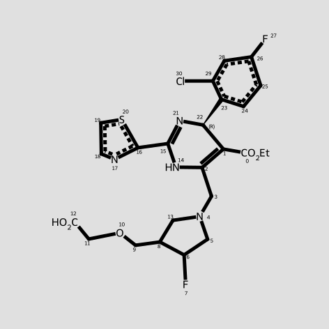 CCOC(=O)C1=C(CN2CC(F)C(COCC(=O)O)C2)NC(c2nccs2)=N[C@H]1c1ccc(F)cc1Cl